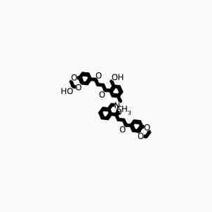 CN(Cc1ccc(CO)c(C(=O)CCC(=O)c2ccc3c(c2)OC(O)CO3)c1)Cc1ccccc1C(=O)CCC(=O)c1ccc2c(c1)OCCO2